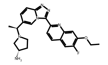 CCOc1cc2nc(-c3nnc4ccc([C@H](C)N5CC[C@H](N)C5)cn34)ccc2cc1F